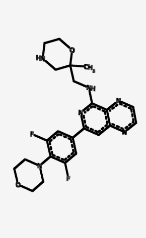 CC1(CNc2nc(-c3cc(F)c(N4CCOCC4)c(F)c3)cc3nccnc23)CNCCO1